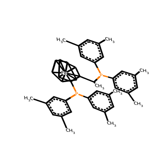 Cc1cc(C)cc(P(c2cc(C)cc(C)c2)C(C)[C]23[CH]4[CH]5[CH]6[C]2(P(c2cc(C)cc(C)c2)c2cc(C)cc(C)c2)[Fe]54632789[CH]3[CH]2[CH]7[CH]8[CH]39)c1